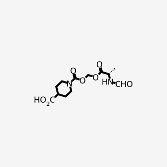 C[C@H](NC=O)C(=O)OCOC(=O)N1CCC(C(=O)O)CC1